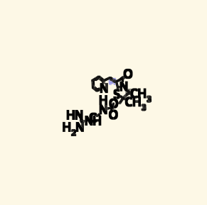 C[C@@H]1N2C(=O)/C(=C/c3ccccn3)C2SC1(C)COC(=O)NCCNC(=N)N